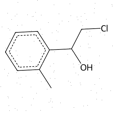 Cc1ccccc1C(O)CCl